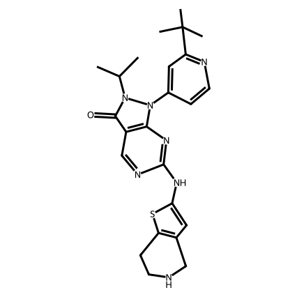 CC(C)n1c(=O)c2cnc(Nc3cc4c(s3)CCNC4)nc2n1-c1ccnc(C(C)(C)C)c1